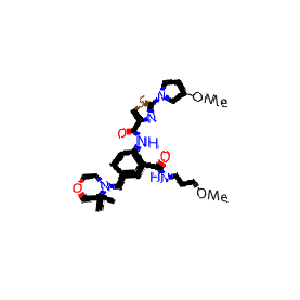 COCCCNC(=O)c1cc(CN2CCOCC2(C)C)ccc1NC(=O)c1csc(N2CC[C@H](OC)C2)n1